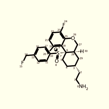 NCC[C@@H]1CC[C@@]2(S(=O)(=O)c3ccc(CF)cc3)c3c(F)ccc(F)c3OC[C@H]2C1